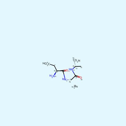 CC[C@H](C)[C@H](NC(=O)[C@@H](N)CC(=O)O)C(=O)N[C@@H](C)C(=O)O